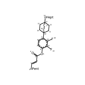 CCCCC/C=C/C(=O)Oc1ccc(C23CCC(CCCCCCC)(CC2)CC3)c(F)c1F